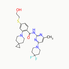 Cc1cc(N2CCC(F)(F)CC2)nc(NC(=O)c2ccc(SCCO)cc2N2CCC3(CC2)CC3)n1